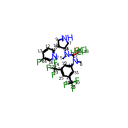 CN(C(=O)N(C)[C@@H]1CNC[C@H]1c1ccc(F)cn1)c1cc(C(F)(F)F)cc(C(F)(F)F)c1.Cl.Cl